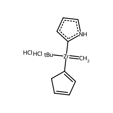 Cl.Cl.[CH2]=[Zr]([C]1=CC=CC1)([c]1ccc[nH]1)[C](C)(C)C